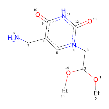 CCOC(Cn1cc(CN)c(=O)[nH]c1=O)OCC